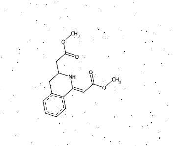 COC(=O)C=C1NC(CC(=O)OC)Cc2ccccc21